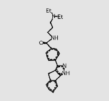 CCN(CC)CCCNC(=O)c1ccc(-c2n[nH]c3c2Cc2ccccc2-3)cc1